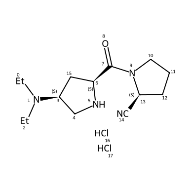 CCN(CC)[C@@H]1CN[C@H](C(=O)N2CCC[C@H]2C#N)C1.Cl.Cl